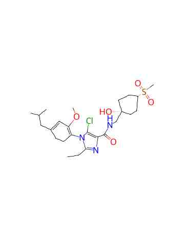 CCc1nc(C(=O)NC[C@]2(O)CC[C@@H](S(C)(=O)=O)CC2)c(Cl)n1C1=C(OC)C=C(CC(C)C)CC1